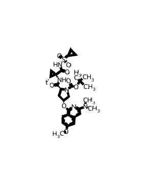 COc1ccc2c(O[C@@H]3C[C@@H](C(=O)N[C@]4(C(=O)NS(=O)(=O)C5CC5)C[C@H]4I)N(C(=O)OC(C)(C)C)C3)nc(N(C)C)cc2c1